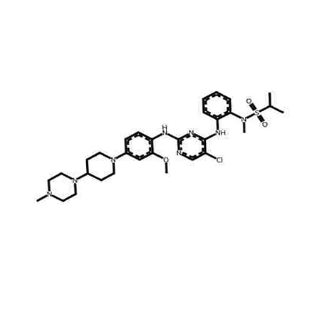 COc1cc(N2CCC(N3CCN(C)CC3)CC2)ccc1Nc1ncc(Cl)c(Nc2ccccc2N(C)S(=O)(=O)C(C)C)n1